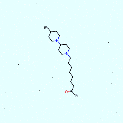 CC(C)C(=O)CCCCCCCN1CCC(N2CCC(C(C)C)CC2)CC1